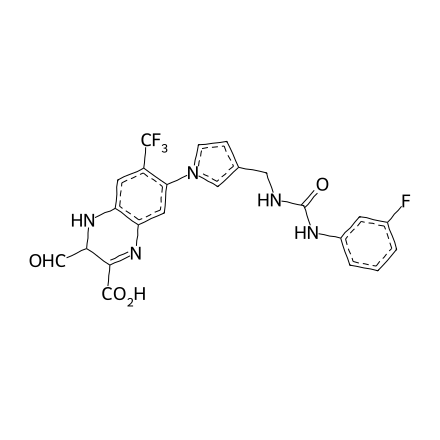 O=CC1Nc2cc(C(F)(F)F)c(-n3ccc(CNC(=O)Nc4cccc(F)c4)c3)cc2N=C1C(=O)O